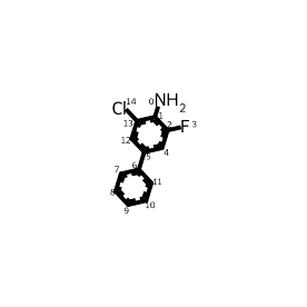 Nc1c(F)cc(-c2ccccc2)cc1Cl